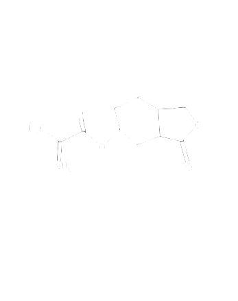 C=C(C)C(=O)OC1CCC2COC(=O)C2C1